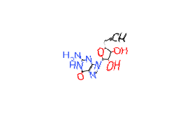 C#CC[C@H]1O[C@@H](n2cnc3c(=O)[nH]c(N)nc32)[C@H](O)[C@@H]1O